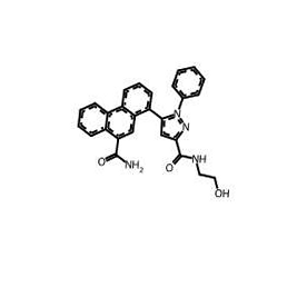 NC(=O)c1cc2c(-c3cc(C(=O)NCCO)nn3-c3ccccc3)cccc2c2ccccc12